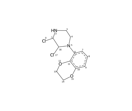 ClC1NCCN(c2cccc3c2OCCO3)C1Cl